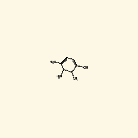 BC1C(C)=CC=C(O)C1C